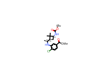 COC(=O)c1ccc(Cl)c(N[C@@H](C)[C@@H]2C[C@H](NC(=O)OC(C)(C)C)C2(C)C)c1